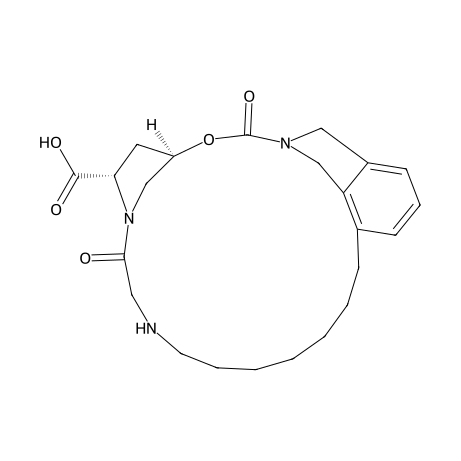 O=C(O)[C@@H]1C[C@@H]2CN1C(=O)CNCCCCCCCc1cccc3c1CN(C3)C(=O)O2